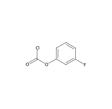 O=C(Cl)Oc1cccc(F)c1